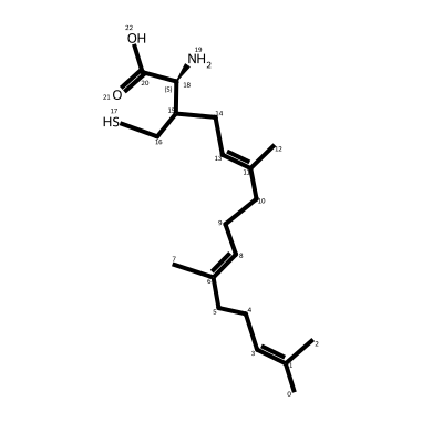 CC(C)=CCCC(C)=CCCC(C)=CCC(CS)[C@H](N)C(=O)O